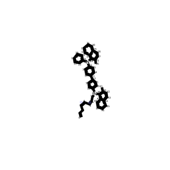 C=CC/C=C\C=C/CN(c1ccc(-c2ccc(N(c3ccccc3)c3c(C)ccc4ccccc34)cc2)cc1)c1c(C)ccc2ccccc12